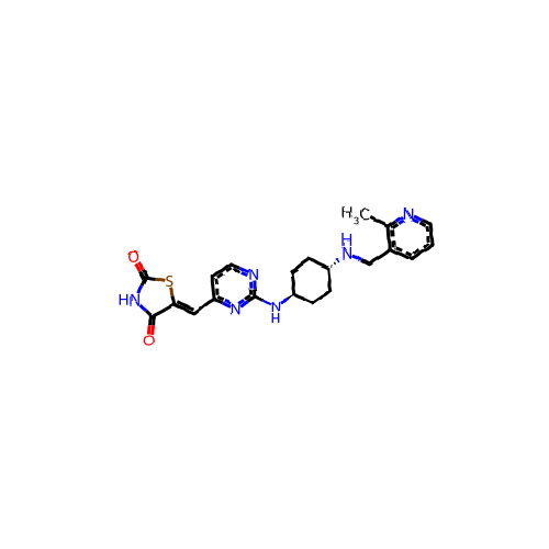 Cc1ncccc1CN[C@H]1CC[C@H](Nc2nccc(/C=C3\SC(=O)NC3=O)n2)CC1